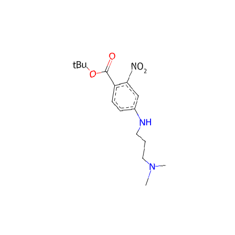 CN(C)CCCNc1ccc(C(=O)OC(C)(C)C)c([N+](=O)[O-])c1